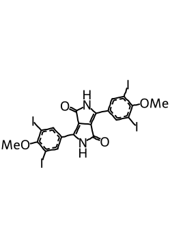 COc1c(I)cc(C2=C3C(=O)NC(c4cc(I)c(OC)c(I)c4)=C3C(=O)N2)cc1I